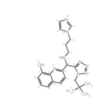 CC(C)(C)Cn1nnnc1C(NCCCn1ccnc1)c1ccc2cccc(O)c2n1